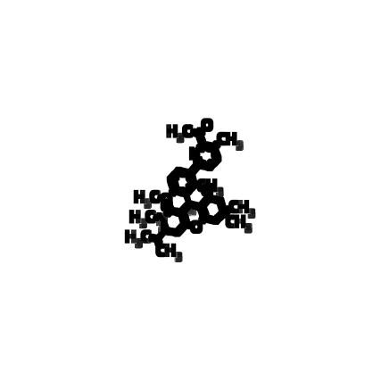 COc1ccc(-c2ccc(C)c(C(C)=O)n2)c(C)c1[C@H]1C2=C(CC(C)(C)CC2=O)OC2=C1C(=O)N(C)[C@H](C(C)C)C2